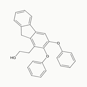 OCCc1c2c(cc(Oc3ccccc3)c1Oc1ccccc1)-c1ccccc1C2